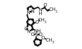 C=CC(=O)NCc1ccn(Cc2cc(OC)c3c(NS(=O)(=O)c4ccccc4OC)noc3c2)n1